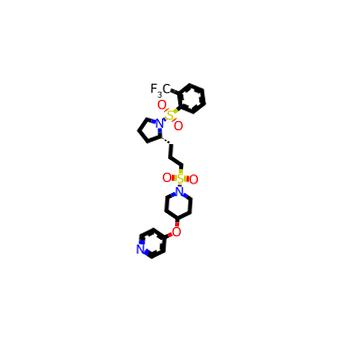 O=S(=O)(CCC[C@@H]1CCCN1S(=O)(=O)c1ccccc1C(F)(F)F)N1CCC(Oc2ccncc2)CC1